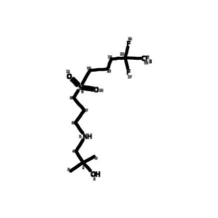 CC(C)(O)CNCCCS(=O)(=O)CCCC(F)(F)C(F)(F)F